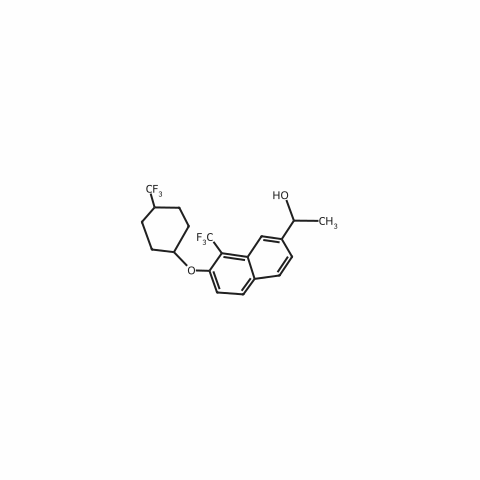 CC(O)c1ccc2ccc(OC3CCC(C(F)(F)F)CC3)c(C(F)(F)F)c2c1